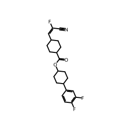 N#C/C(F)=C\C1CCC(C(=O)OC2CCC(c3ccc(F)c(F)c3)CC2)CC1